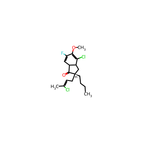 CCCC[C@]1(CC=C(C)Cl)CC2C(Cl)=C(OC)C(F)=CC2C1=O